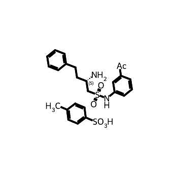 CC(=O)c1cccc(NS(=O)(=O)C[C@@H](N)CCc2ccccc2)c1.Cc1ccc(S(=O)(=O)O)cc1